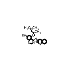 C[C@H](CN(C)C)Oc1cc(Br)cc2ncnc(Nc3cnc4ccccc4c3)c12